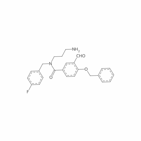 NCCCN(Cc1ccc(F)cc1)C(=O)c1ccc(OCc2ccccc2)c(C=O)c1